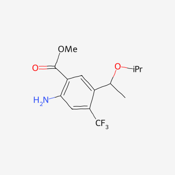 COC(=O)c1cc(C(C)OC(C)C)c(C(F)(F)F)cc1N